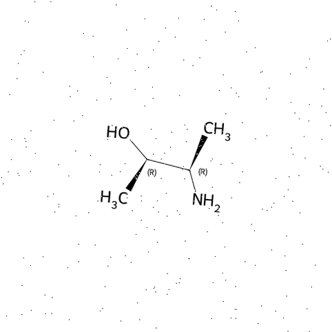 C[C@@H](N)[C@@H](C)O